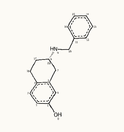 Oc1ccc2c(c1)C[C@@H](NCc1ccccc1)CC2